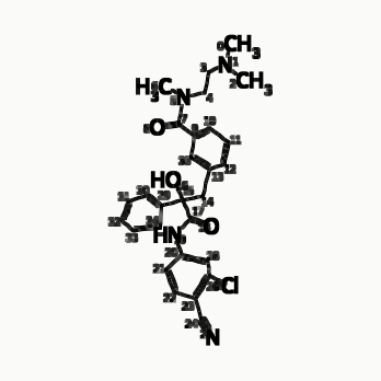 CN(C)CCN(C)C(=O)c1cccc(CC(O)(C(=O)Nc2ccc(C#N)c(Cl)c2)c2ccccc2)c1